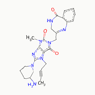 CC#CCn1c(N2CCCC(N)C2)nc2c1c(=O)n(CC1=Nc3ccccc3C(=O)NC1)c(=O)n2C